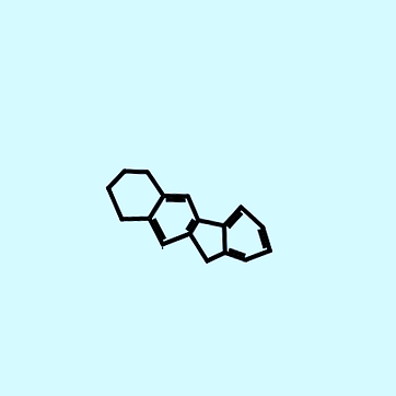 [c]1c2c(cc3c1Cc1ccccc1-3)CCCC2